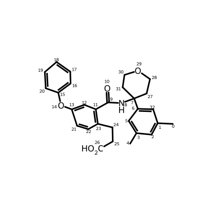 Cc1cc(C)cc(C2(NC(=O)c3cc(Oc4ccccc4)ccc3CCC(=O)O)CCOCC2)c1